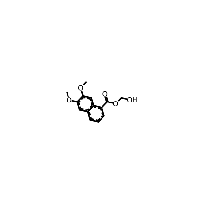 COc1cc2cccc(C(=O)OCO)c2cc1OC